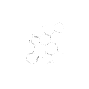 CC(Oc1nn2c(-c3ccccc3)nnc2c(Cl)c1N1CCCC1)c1nc[nH]n1